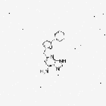 Nc1nc(Cc2ccc(-c3ccccc3)o2)nc2[nH]cnc12